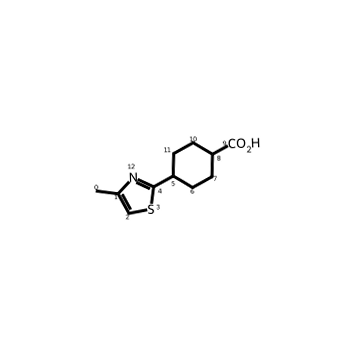 Cc1csc(C2CCC(C(=O)O)CC2)n1